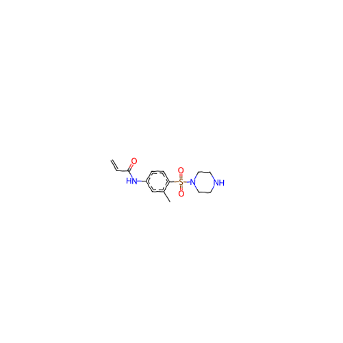 C=CC(=O)Nc1ccc(S(=O)(=O)N2CCNCC2)c(C)c1